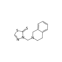 S=c1scnn1CN1CCc2ccccc2C1